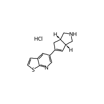 C1=C(c2cnc3sccc3c2)C[C@@H]2CNC[C@H]12.Cl